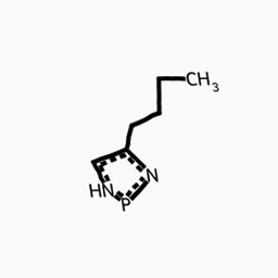 CCCCc1c[nH]pn1